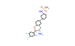 CS(=O)(=O)Nc1cccc(-c2ccc3c(c2)C[C@H](N)[C@@H](c2cc(F)c(F)cc2F)O3)c1